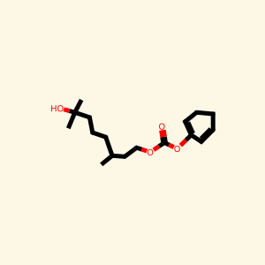 CC(CCCC(C)(C)O)CCOC(=O)OC1=CCCC=C1